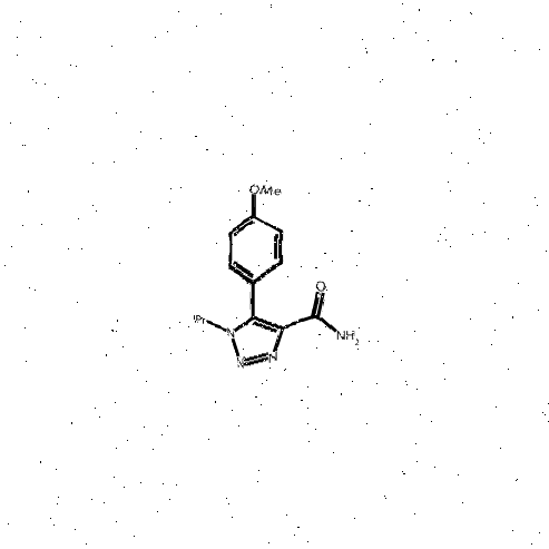 COc1ccc(-c2c(C(N)=O)nnn2C(C)C)cc1